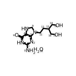 Nc1nc2c(c(=O)[nH]1)NCN2CCC(CO)CO.O